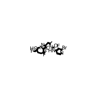 C[C@@H]1Cc2nn3c(c2CN1C(=O)Nc1ccnc(Br)c1F)C(F)(F)CC[C@](O)(CF)C3